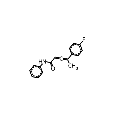 CC(=C=CC(=O)Nc1ccccc1)c1ccc(F)cc1